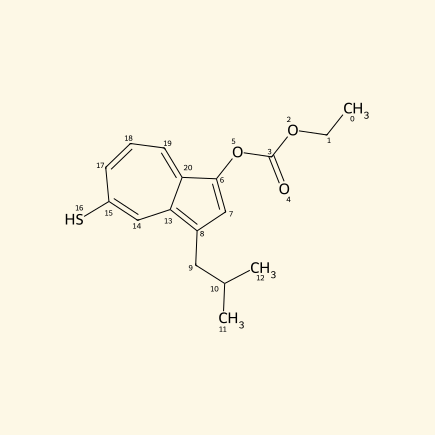 CCOC(=O)Oc1cc(CC(C)C)c2cc(S)cccc1-2